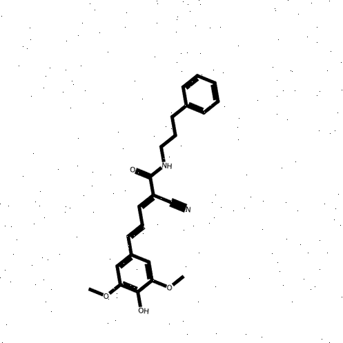 COc1cc(/C=C/C=C(\C#N)C(=O)NCCCc2ccccc2)cc(OC)c1O